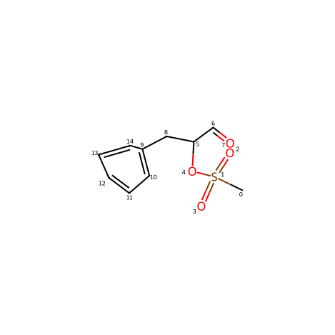 CS(=O)(=O)OC(C=O)Cc1ccccc1